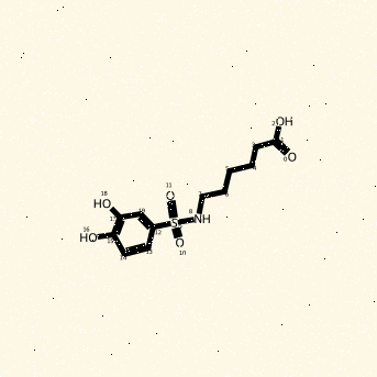 O=C(O)CCCCCNS(=O)(=O)c1ccc(O)c(O)c1